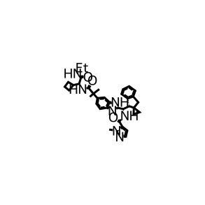 CCNC(=O)[C@H](NC(=O)C(C)(C)c1ccc2nc([C@@H](NC(=O)c3ccnn3C)[C@@H]3c4ccccc4CC34CC4)[nH]c2c1)C1CCC1